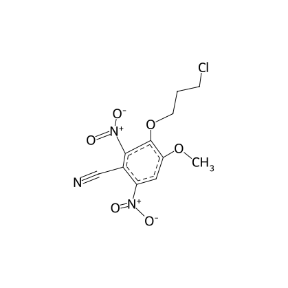 COc1cc([N+](=O)[O-])c(C#N)c([N+](=O)[O-])c1OCCCCl